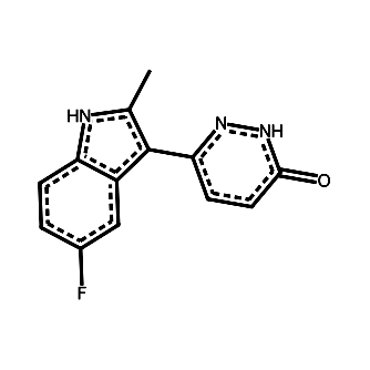 Cc1[nH]c2ccc(F)cc2c1-c1ccc(=O)[nH]n1